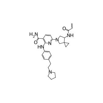 C=CC(=O)NC1CN(c2ccc(C(N)=O)c(Nc3ccc(CCN4CCCC4)cc3)n2)CC12CC2